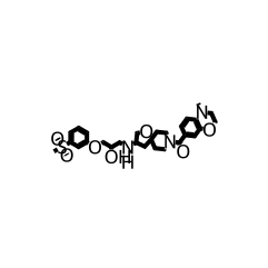 CN1CCOc2cc(C(=O)N3CCC4(CC3)CC(NCC(O)COc3cccc(S(C)(=O)=O)c3)CO4)ccc21